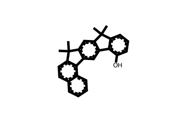 CC1(C)c2cc3c(cc2-c2c(O)cccc21)-c1c(ccc2ccccc12)C3(C)C